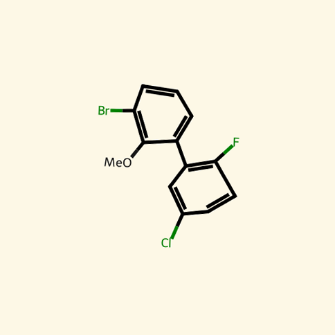 COc1c(Br)cccc1-c1cc(Cl)ccc1F